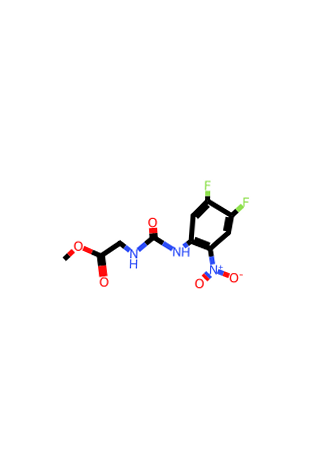 COC(=O)CNC(=O)Nc1cc(F)c(F)cc1[N+](=O)[O-]